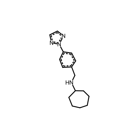 c1cnn(-c2ccc(CNC3CCCCCC3)cc2)n1